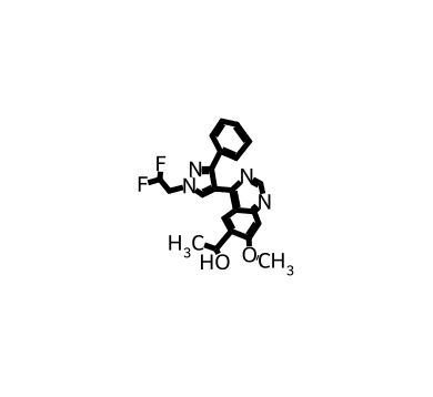 COc1cc2ncnc(-c3cn(CC(F)F)nc3-c3ccccc3)c2cc1C(C)O